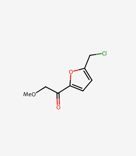 COCC(=O)c1ccc(CCl)o1